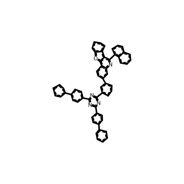 c1ccc(-c2ccc(-c3nc(-c4ccc(-c5ccccc5)cc4)nc(-c4cccc(-c5ccc6c(c5)nc(-c5cccc7ccccc57)c5c7ccccc7oc65)c4)n3)cc2)cc1